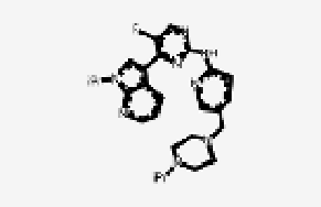 CC(C)N1CCN(Cc2ccc(Nc3ncc(F)c(-c4cn(C(C)C)c5ncccc45)n3)nc2)CC1